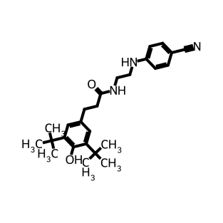 CC(C)(C)c1cc(CCC(=O)NCCNc2ccc(C#N)cc2)cc(C(C)(C)C)c1O